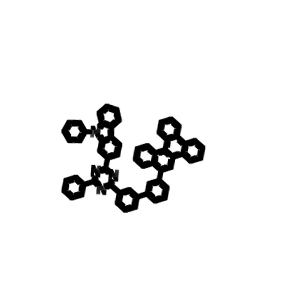 c1ccc(-c2nc(-c3cccc(-c4cccc(-c5cc6c7ccccc7c7ccccc7c6c6ccccc56)c4)c3)nc(-c3ccc4c5ccccc5n(-c5ccccc5)c4c3)n2)cc1